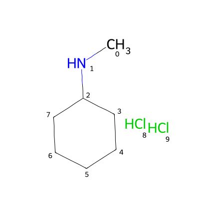 CNC1CCCCC1.Cl.Cl